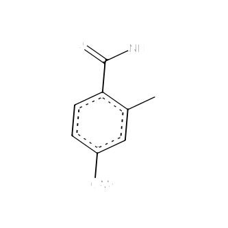 COc1ccc(C([NH])=O)c(C)c1